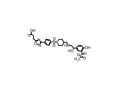 CS(=O)(=O)Nc1cc([C@@H](O)CNCC2CCN(S(=O)(=O)c3ccc(-c4noc(CCC(=O)O)n4)cc3)CC2)ccc1O